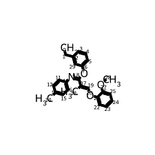 CCc1cccc(OC(=Nc2ccc(C)cc2)C(C)=COc2ccccc2OC)c1